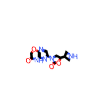 O=C1COc2ncc(N3CC(C4CNC4)OC3=O)nc2N1